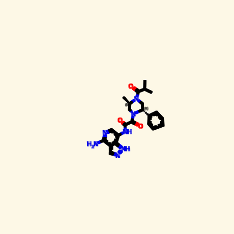 CC(C)C(=O)N1C[C@H](c2ccccc2)N(C(=O)C(=O)Nc2cnc(N)c3cn[nH]c23)C[C@H]1C